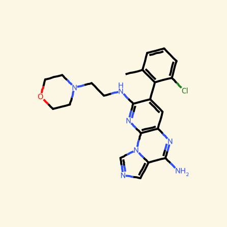 Cc1cccc(Cl)c1-c1cc2nc(N)c3cncn3c2nc1NCCN1CCOCC1